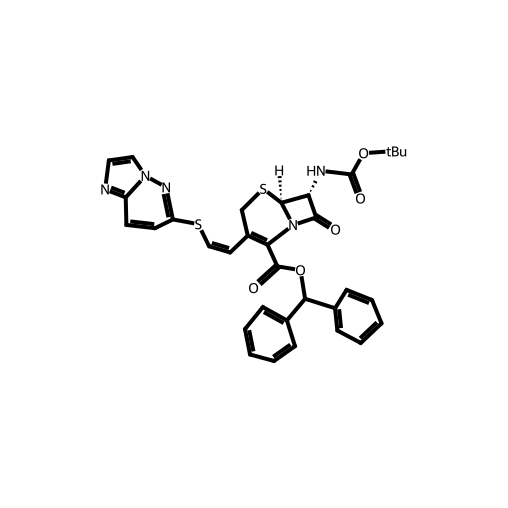 CC(C)(C)OC(=O)N[C@@H]1C(=O)N2C(C(=O)OC(c3ccccc3)c3ccccc3)=C(/C=C\Sc3ccc4nccn4n3)CS[C@@H]12